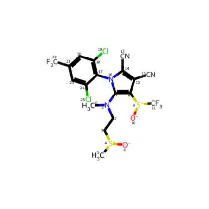 CN(CC[S+](C)[O-])c1c([S+]([O-])C(F)(F)F)c(C#N)c(C#N)n1-c1c(Cl)cc(C(F)(F)F)cc1Cl